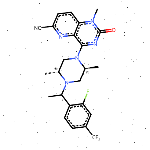 CC(c1ccc(C(F)(F)F)cc1F)N1C[C@H](C)N(c2nc(=O)n(C)c3ccc(C#N)nc23)C[C@H]1C